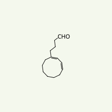 O=CCCCC1=CC=CCCCCCC1